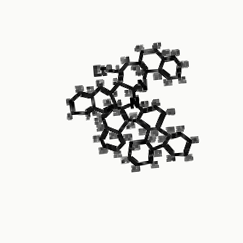 CCC1=C(c2ccc3ccccc3c2)C(n2c3ccc4ccccc4c3c3c4c5ccccc5c5ccccc5c4ccc32)=Nc2c(ccc3ccccc23)C1